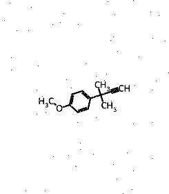 C#CC(C)(C)c1ccc(OC)cc1